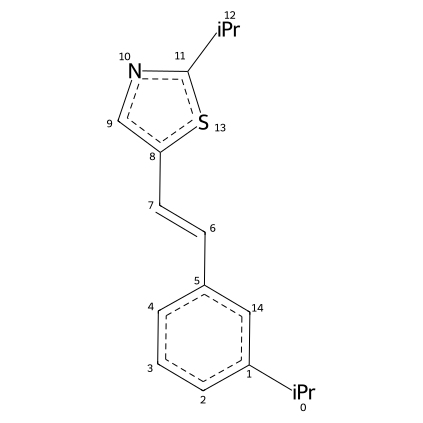 CC(C)c1cccc(/C=C/c2cnc(C(C)C)s2)c1